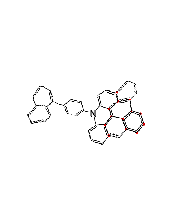 c1ccc(-c2cccc3cccc(-c4ccccc4N(c4ccc(-c5cccc6ccccc56)cc4)c4ccccc4-c4cccc5ccccc45)c23)cc1